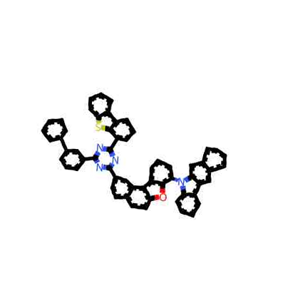 c1ccc(-c2cccc(-c3nc(-c4ccc5ccc6oc7c(-n8c9ccccc9c9cc%10ccccc%10cc98)cccc7c6c5c4)nc(-c4cccc5c4sc4ccccc45)n3)c2)cc1